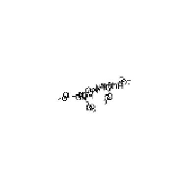 CCC(CC)COC(=O)CCCCC(O)CN(CCCSSCCN1CCN(CCOC(=O)CCCCN(CC(O)CCCCCCC(=O)OCCC(C)C)CC(O)CCCCCCC(=O)OCCC(C)C)CC1)CC(O)CCCCC(=O)OCC(CC)CC